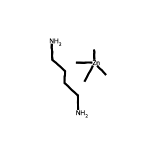 NCCCCN.[CH3][Zn]([CH3])([CH3])[CH3]